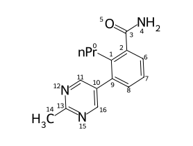 CCCc1c(C(N)=O)cccc1-c1cnc(C)nc1